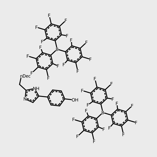 CCCCCCCCCCCc1ncc(-c2ccc(O)cc2)[nH]1.Fc1c(F)c(F)c(B(c2c(F)c(F)c(F)c(F)c2F)c2c(F)c(F)c(F)c(F)c2F)c(F)c1F.Fc1c(F)c(F)c(B(c2c(F)c(F)c(F)c(F)c2F)c2c(F)c(F)c(F)c(F)c2F)c(F)c1F